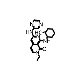 CCn1ccc2cc(Nc3cnccn3)nc(N[C@H]3CCCC[C@@H]3O)c2c1=O